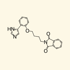 O=C1c2ccccc2C(=O)N1CCCCOc1ccccc1-c1cnc[nH]1